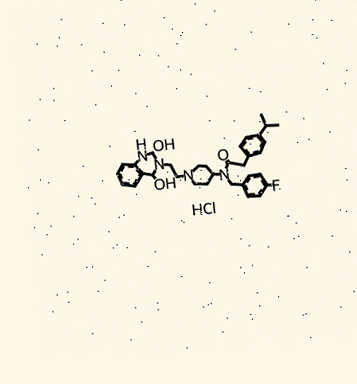 CC(C)c1ccc(CC(=O)N(Cc2ccc(F)cc2)C2CCN(CCN3C(O)Nc4ccccc4C3O)CC2)cc1.Cl